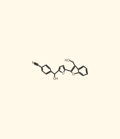 N#Cc1ccc(C(O)c2ccc(-c3oc4ccccc4c3CO)o2)cc1